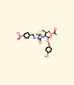 COc1ccc(COC(=O)C2=C(COC(C)=O)CS[C@H]3[C@@H](N=Cc4ccc([N+](=O)[O-])cc4)C(=O)N23)cc1